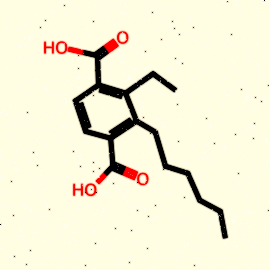 CCCCCCc1c(C(=O)O)ccc(C(=O)O)c1CC